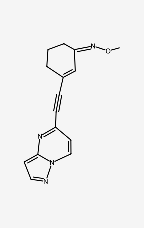 CON=C1C=C(C#Cc2ccn3nccc3n2)CCC1